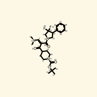 CN(C)C=C(C(=O)C1CCN(C(=O)OC(C)(C)C)CC1)C(=O)N1CC(c2ccccc2)C(F)(F)C1